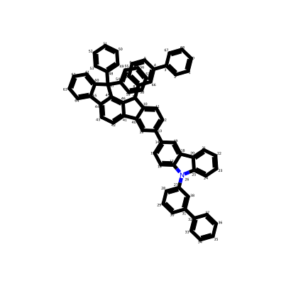 c1ccc(-c2cccc(C3c4ccc(-c5ccc6c(c5)c5ccccc5n6-c5cccc(-c6ccccc6)c5)cc4-c4ccc5c(c43)C(c3ccccc3)(c3ccccc3)c3ccccc3-5)c2)cc1